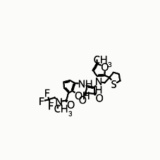 Cc1ccc(C2(CNc3c(Nc4cccc(C(=O)N(C)CC(F)(F)F)c4O)c(=O)c3=O)CCCS2)o1